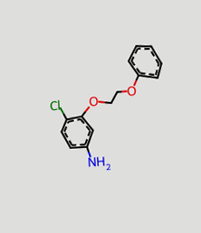 Nc1ccc(Cl)c(OCCOc2ccccc2)c1